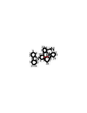 N#Cc1ccc(-n2c3ccccc3c3ccccc32)cc1-c1cccc(C#N)c1-n1c2ccccc2c2ccccc21